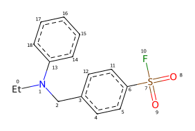 CCN(Cc1ccc(S(=O)(=O)F)cc1)c1ccccc1